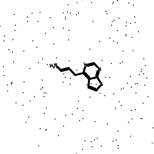 NC=CCc1ncnc2sccc12